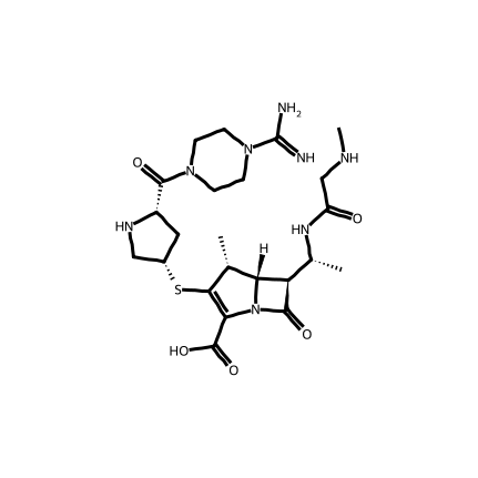 CNCC(=O)N[C@H](C)[C@H]1C(=O)N2C(C(=O)O)=C(S[C@@H]3CN[C@H](C(=O)N4CCN(C(=N)N)CC4)C3)[C@H](C)[C@H]12